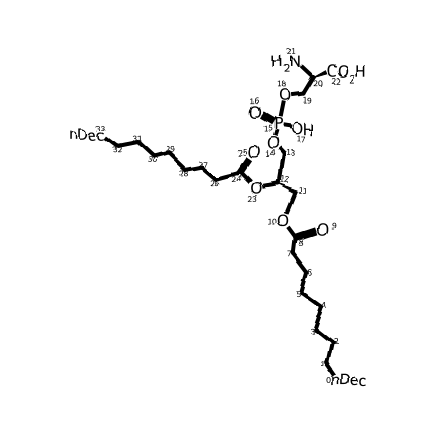 CCCCCCCCCCCCCCCCCC(=O)OC[C@H](COP(=O)(O)OC[C@@H](N)C(=O)O)OC(=O)CCCCCCCCCCCCCCCCC